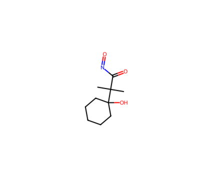 CC(C)(C(=O)N=O)C1(O)CCCCC1